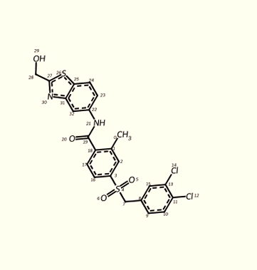 Cc1cc(S(=O)(=O)Cc2ccc(Cl)c(Cl)c2)ccc1C(=O)Nc1ccc2sc(CO)nc2c1